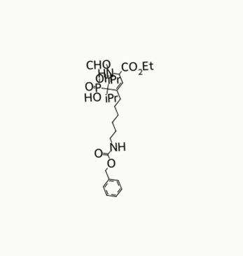 CCOC(=O)C(C=C(CCCCCCNC(=O)OCc1ccccc1)C(C(C)C)(C(C)C)P(=O)(O)O)NC=O